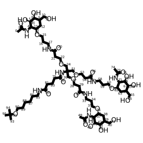 CC(=O)NC1[C@@H](O)[C@@H](O)C(CO)C[C@H]1OCCCNC(=O)CCOCC(COCCC(=O)NCCCO[C@@H]1CC(CO)[C@H](O)[C@H](O)C1NC(C)=O)(COCCC(=O)NCCCO[C@@H]1CC(CO)[C@H](O)[C@H](O)C1NC(C)=O)NC(=O)CCCC(=O)NCCCCCCOC(C)(C)C